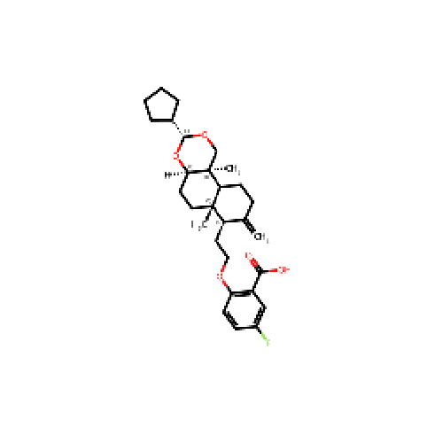 C=C1CCC2[C@]3(C)CO[C@@H](C4CCCC4)O[C@@H]3CC[C@@]2(C)[C@@H]1CCOc1ccc(F)cc1C(=O)O